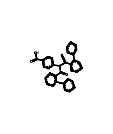 O=C(O)c1ccc(N(C(=O)c2ccccc2-c2ccccc2)C(=O)c2ccccc2-c2ccccc2)nc1